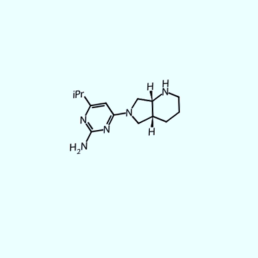 CC(C)c1cc(N2C[C@H]3CCCN[C@H]3C2)nc(N)n1